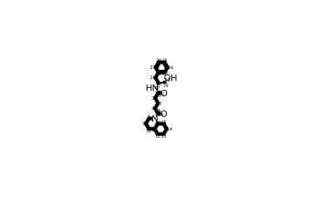 O=C(CCCC(=O)N1CCCC2CCCCC21)N[C@H](CO)Cc1ccccc1